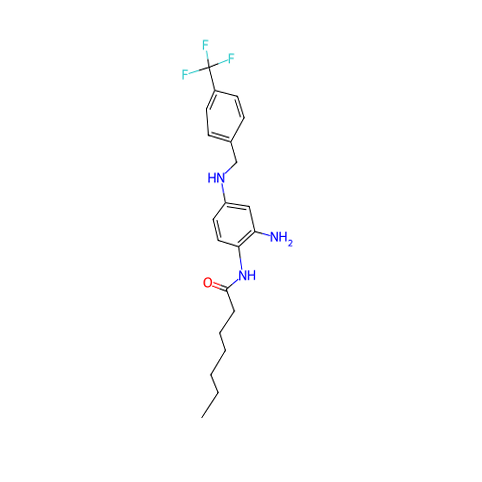 CCCCCCC(=O)Nc1ccc(NCc2ccc(C(F)(F)F)cc2)cc1N